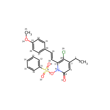 CCc1cc(=O)n(OS(=O)(=O)c2ccccc2)c(C=Cc2ccc(OC)cc2)c1Cl